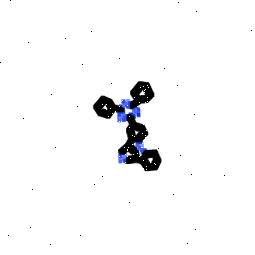 c1ccc(-c2nc(-c3ccccc3)nc(-c3ccc4c(c3)c3cncc5c6ccccc6n4c53)n2)cc1